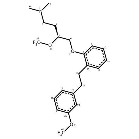 CN(C)CC[C@@H](COc1ccccc1CCc1cccc(OC(F)(F)F)c1)OC(F)(F)F